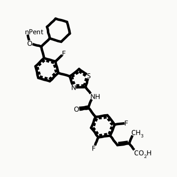 CCCCCOC(c1cccc(-c2csc(NC(=O)c3cc(F)c(C=C(C)C(=O)O)c(F)c3)n2)c1F)C1CCCCC1